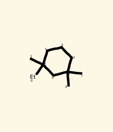 CCC1(C)C[CH]CC(C)(C)C1